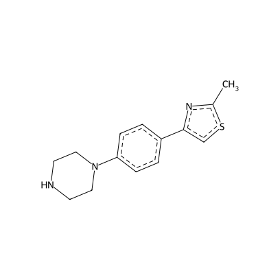 Cc1nc(-c2ccc(N3CCNCC3)cc2)cs1